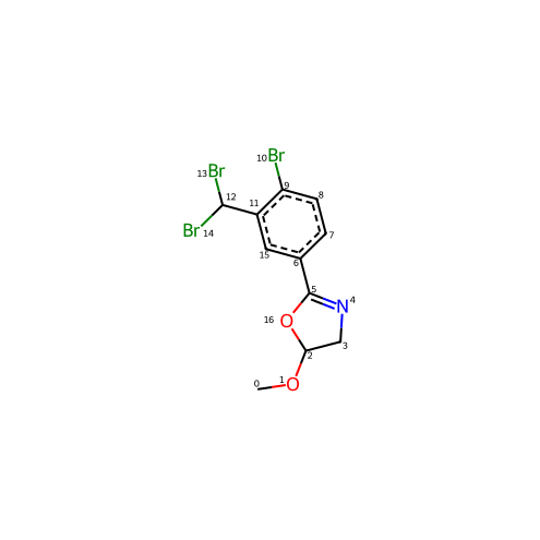 COC1CN=C(c2ccc(Br)c(C(Br)Br)c2)O1